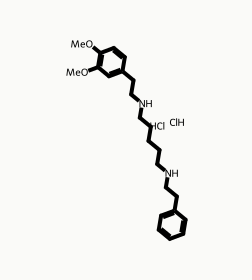 COc1ccc(CCNCCCCCNCCc2ccccc2)cc1OC.Cl.Cl